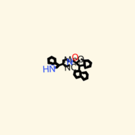 COc1ccccc1C(c1cccc2ccccc12)[C@@](C)(C#N)C(=O)N1CCC(c2c[nH]c3ccccc23)CC1